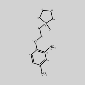 C[N+]1(CCOc2ccc([N+](=O)[O-])cc2[N+](=O)[O-])CCCC1